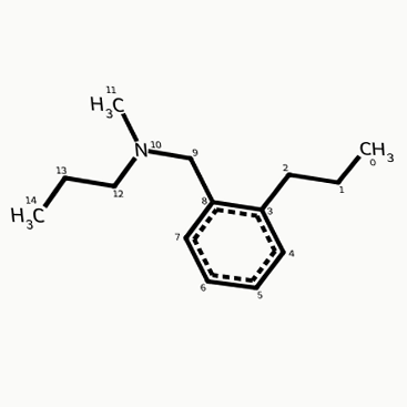 CCCc1ccccc1CN(C)CCC